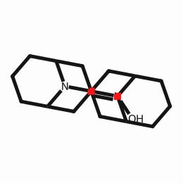 ON=C1CC2CCCC(C1)N2C1CC2CCCC(C2)C1